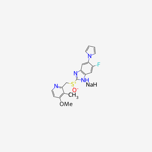 COc1ccnc(C[S+]([O-])c2nc3cc(-n4cccc4)c(F)cc3[nH]2)c1C.[NaH]